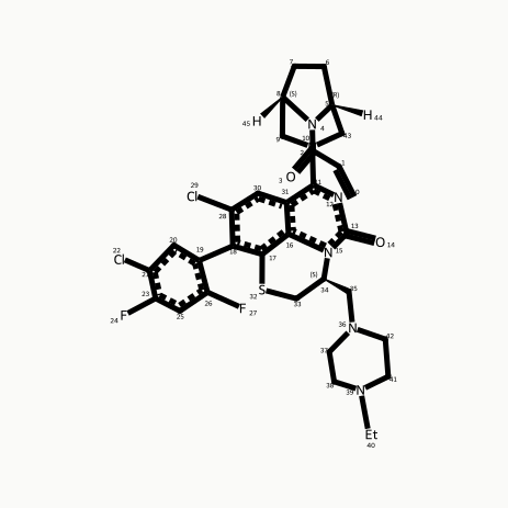 C=CC(=O)N1[C@@H]2CC[C@H]1CN(c1nc(=O)n3c4c(c(-c5cc(Cl)c(F)cc5F)c(Cl)cc14)SC[C@@H]3CN1CCN(CC)CC1)C2